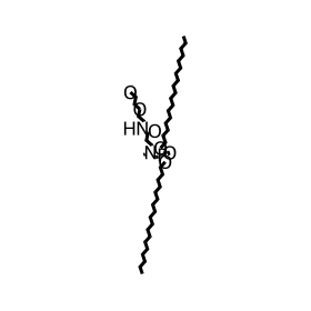 CCCCCCCCCCCCCCCCCCOP(=O)(CN(C)CCC(=O)NCCOCCOC)OCCCCCCCCCCCCCCCCCC